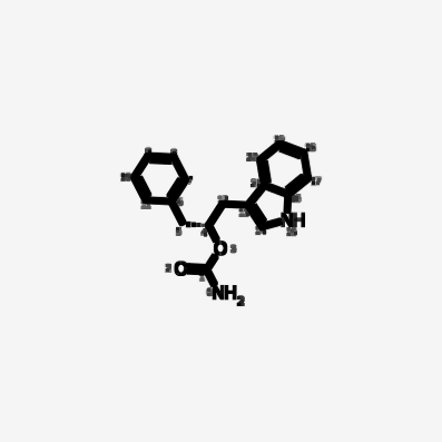 NC(=O)O[C@H](Cc1ccccc1)Cc1c[nH]c2ccccc12